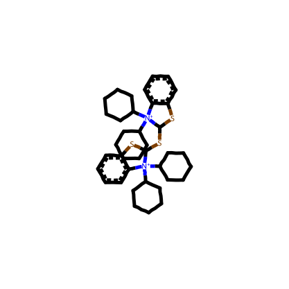 c1ccc2c(c1)SC(SC1Sc3ccccc3[N+]1(C1CCCCC1)C1CCCCC1)[N+]2(C1CCCCC1)C1CCCCC1